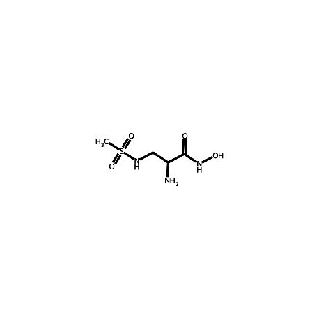 CS(=O)(=O)NCC(N)C(=O)NO